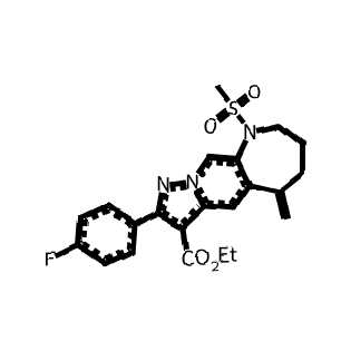 C=C1CCCN(S(C)(=O)=O)c2cn3nc(-c4ccc(F)cc4)c(C(=O)OCC)c3cc21